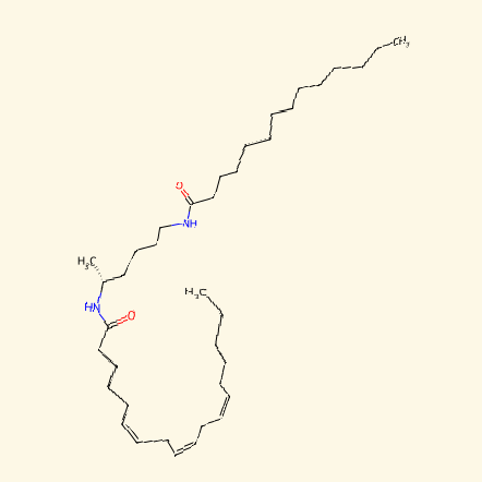 CCCCC/C=C\C/C=C\C/C=C\CCCCC(=O)N[C@H](C)CCCCNC(=O)CCCCCCCCCCCCC